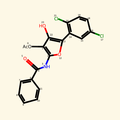 CC(=O)Oc1c(NC(=O)c2ccccc2)oc(-c2cc(Cl)ccc2Cl)c1O